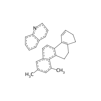 Cc1cc(C)c2c3c(ccc2c1)C1=C(CCC=C1)CC3.c1ccc2ncccc2c1